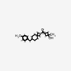 Cc1ccc(CC2CCC3(CC2)CN(C(=O)C2CC(C)(O)C2)C3)cc1